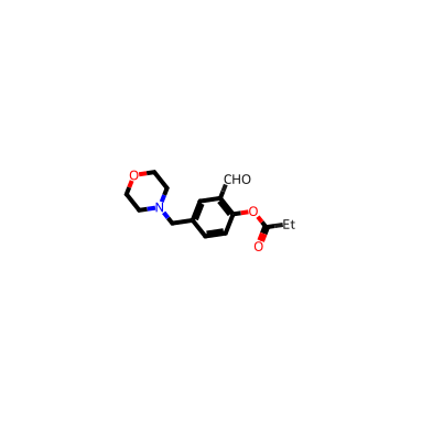 CCC(=O)Oc1ccc(CN2CCOCC2)cc1C=O